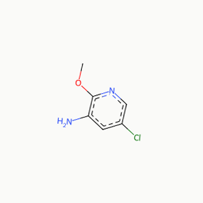 COc1ncc(Cl)cc1N